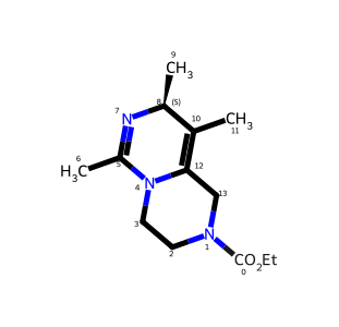 CCOC(=O)N1CCN2C(C)=N[C@@H](C)C(C)=C2C1